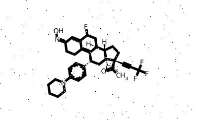 CC(=O)[C@@]1(C#CC(F)(F)F)CC[C@H]2[C@@H]3CC(F)C4=CC(=NO)CCC4=C3[C@@H](c3ccc(N4CCCCC4)cc3)C[C@@]21C